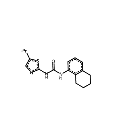 CC(C)c1cnc(NC(=O)Nc2cccc3c2CCCC3)s1